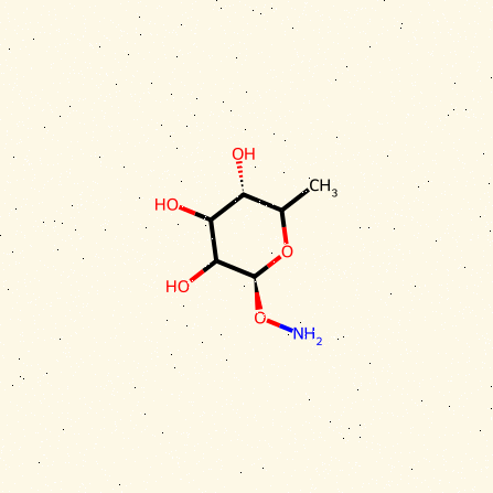 CC1O[C@@H](ON)C(O)C(O)[C@@H]1O